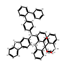 c1ccc(-c2ccccc2-c2ccc(N(c3ccc4c(c3)oc3ccccc34)c3cccc4c3[SiH2]c3ccccc3C43c4ccccc4Sc4ccccc43)cc2)cc1